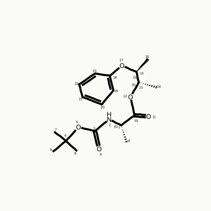 C[C@H](NC(=O)OC(C)(C)C)C(=O)O[C@@H](C)[C@H](C)Oc1ccccc1